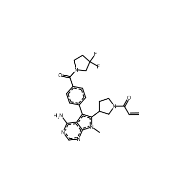 C=CC(=O)N1CCC(c2c(-c3ccc(C(=O)N4CCC(F)(F)C4)cc3)c3c(N)ncnc3n2C)C1